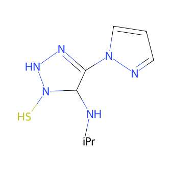 CC(C)NC1C(n2cccn2)=NNN1S